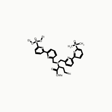 CCOP(=O)(OCC)c1cccc(-c2cccc(CN(Cc3cccc(-c4cccc(P(C)(C)=O)n4)n3)C(CCC(C)=O)C(=O)OC)n2)n1